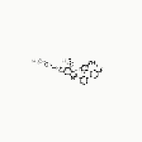 CCOCCNCc1cc(OC)c2oc(-c3cccc(-c4ccc(F)cc4-c4nncn4C)c3)nc2c1